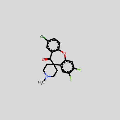 CN1CCC2(CC1)C(=O)c1cc(Cl)ccc1Oc1cc(F)c(F)cc12